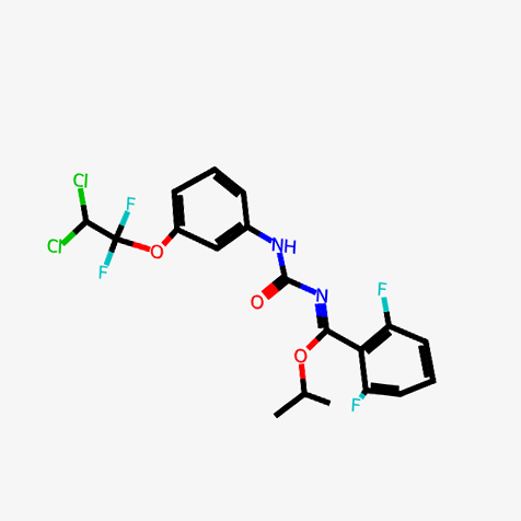 CC(C)O/C(=N\C(=O)Nc1cccc(OC(F)(F)C(Cl)Cl)c1)c1c(F)cccc1F